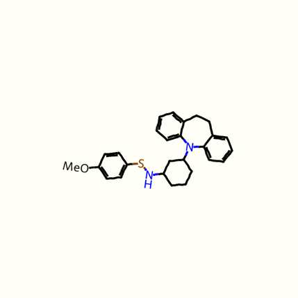 COc1ccc(SNC2CCCC(N3c4ccccc4CCc4ccccc43)C2)cc1